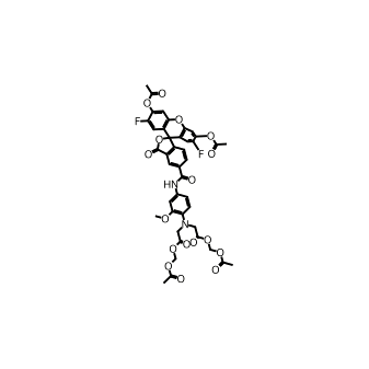 COc1cc(NC(=O)c2ccc3c(c2)C(=O)OC32c3cc(F)c(OC(C)=O)cc3Oc3cc(OC(C)=O)c(F)cc32)ccc1N(CC(=O)OCOC(C)=O)CC(=O)OCOC(C)=O